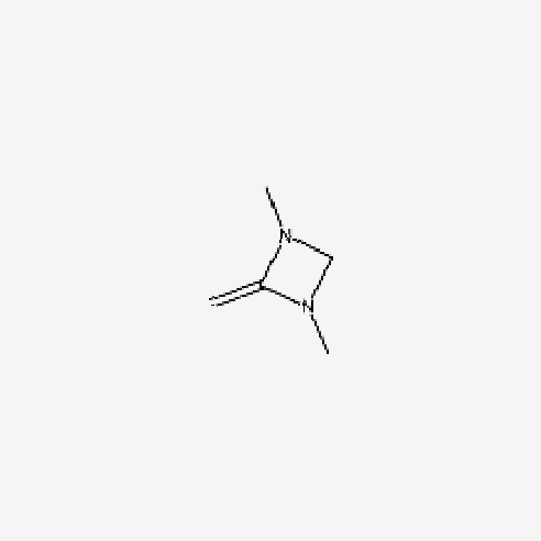 C=C1N(C)CN1C